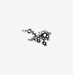 CC(=O)O[C@@]12COC1C[C@H](O)C1(C)C(=O)[C@H](O)C3=C(C)[C@@H](OC(=O)C(OC(=O)CCCN4CCN(C)CC4)[C@@H](NC(=O)OC(C)(C)C)c4ccccc4)CC(O)([C@@H](OC(=O)c4ccccc4)C12)C3(C)C